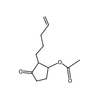 C=CCCCC1C(=O)CCC1OC(C)=O